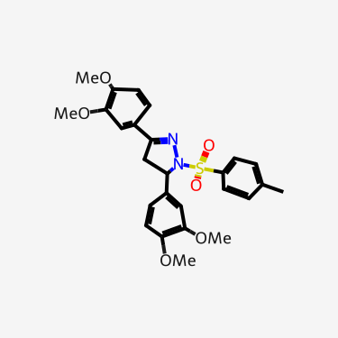 COc1ccc(C2=NN(S(=O)(=O)c3ccc(C)cc3)C(c3ccc(OC)c(OC)c3)C2)cc1OC